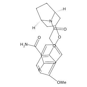 COc1ccc(C(N)=O)c(OCC(=O)N2[C@@H]3CC[C@H]2CC(Oc2ccc(F)cc2)C3)c1